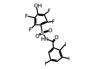 O=C(NS(=O)(=O)c1c(F)c(F)c(O)c(F)c1F)c1cc(I)cc(I)c1I